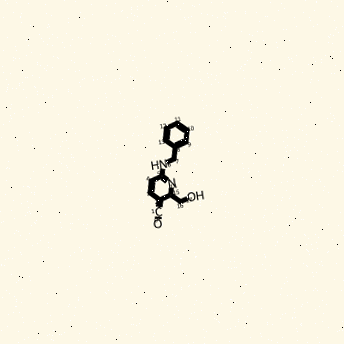 O=C=C1C=CC(NCc2ccccc2)=NC1CO